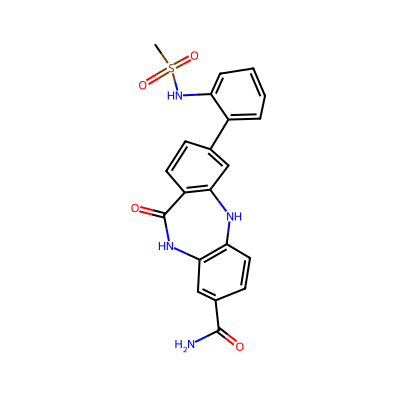 CS(=O)(=O)Nc1ccccc1-c1ccc2c(c1)Nc1ccc(C(N)=O)cc1NC2=O